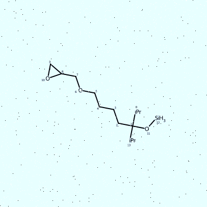 CC(C)C(CCCCOCC1CO1)(O[SiH3])C(C)C